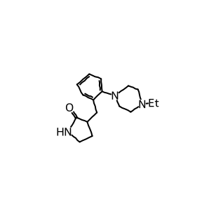 CCN1CCN(c2ccccc2CC2CCNC2=O)CC1